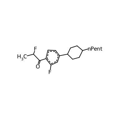 CCCCCC1CCC(c2ccc(C(=O)C(C)F)c(F)c2)CC1